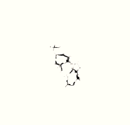 Cc1cc(=O)c2c([nH]1)N(c1ccc(OC(F)(F)F)cc1C)CC2